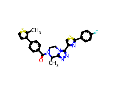 Cc1sccc1-c1ccc(C(=O)N2CCn3c(-c4csc(-c5ccc(F)cc5)n4)nnc3C2C)cc1